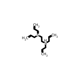 C=CC[SiH](CC=C)CC[SiH](CC=C)CC=C